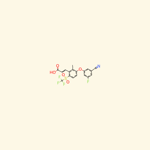 Cc1c(Oc2cc(F)cc(C#N)c2)ccc(S(=O)(=O)C(F)(F)F)c1/C=C/C(=O)O